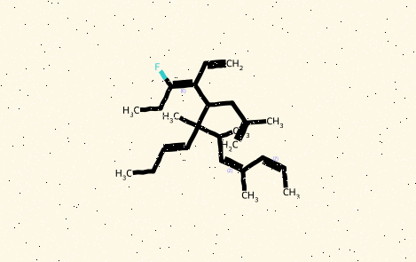 C=C/C(=C(\F)CC)C(CC(=C)C)C(C)(C=CCC)C(C)/C=C(C)\C=C/C